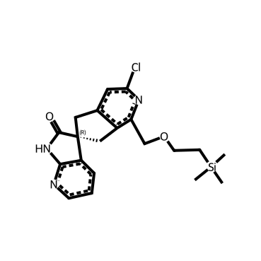 C[Si](C)(C)CCOCc1nc(Cl)cc2c1C[C@@]1(C2)C(=O)Nc2ncccc21